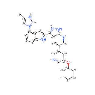 Cc1cn(-c2cccc3[nH]c(-c4n[nH]c5ncc(-c6cncc(OC7CCCCC7)c6)cc45)cc23)cn1